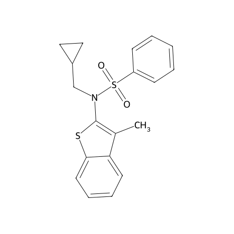 Cc1c(N(CC2CC2)S(=O)(=O)c2ccccc2)sc2ccccc12